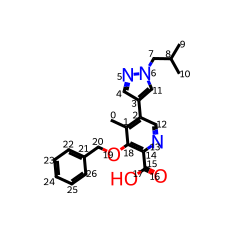 Cc1c(-c2cnn(CC(C)C)c2)cnc(C(=O)O)c1OCc1ccccc1